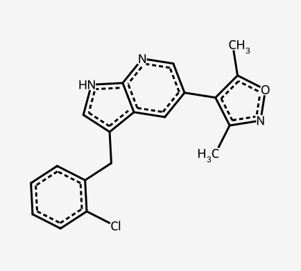 Cc1noc(C)c1-c1cnc2[nH]cc(Cc3ccccc3Cl)c2c1